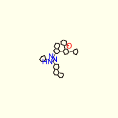 c1ccc(-c2ccc(-c3cc(C4=NC(c5ccccc5)NC(c5ccc6c(ccc7ccccc76)c5)=N4)cc4ccccc34)c3c2oc2ccccc23)cc1